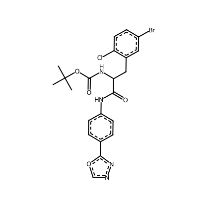 CC(C)(C)OC(=O)NC(Cc1cc(Br)ccc1Cl)C(=O)Nc1ccc(-c2nnco2)cc1